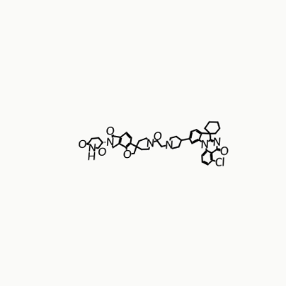 O=C1CC[C@H](N2Cc3c(ccc4c3OCC43CCN(C(=O)CN4CCC(c5ccc6c(c5)-n5c(nc(=O)c7c(Cl)cccc75)C65CCCCC5)CC4)CC3)C2=O)C(=O)N1